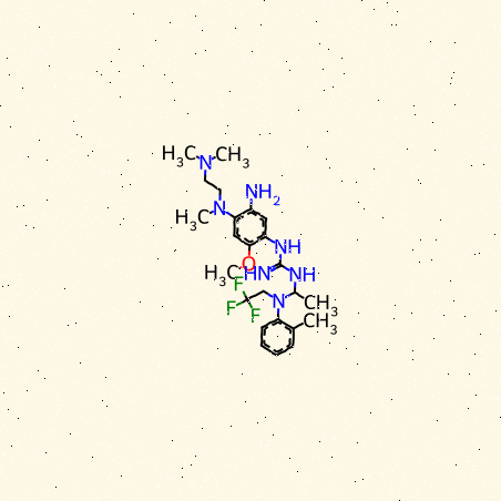 COc1cc(N(C)CCN(C)C)c(N)cc1NC(=N)NC(C)N(CC(F)(F)F)c1ccccc1C